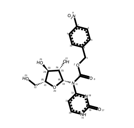 O=C(OCc1ccc([N+](=O)[O-])cc1)N(c1cc[nH]c(=O)n1)[C@@H]1O[C@H](CO)[C@@H](O)[C@@H]1O